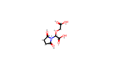 O=C(O)COC(C(=O)O)N1C(=O)CCC1=O